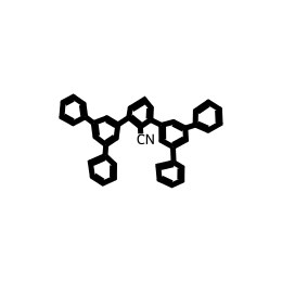 N#Cc1c(-c2cc(-c3ccccc3)cc(-c3ccccc3)c2)cccc1-c1cc(-c2ccccc2)cc(-c2ccccc2)c1